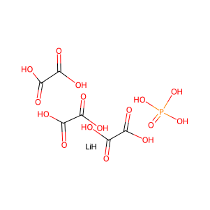 O=C(O)C(=O)O.O=C(O)C(=O)O.O=C(O)C(=O)O.O=P(O)(O)O.[LiH]